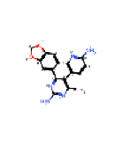 Cc1nc(N)nc(-c2ccc3c(c2)OCO3)c1-c1ccc(N)nc1